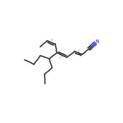 C\C=C/C(=C\C=C\C#N)C(CCC)CCC